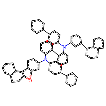 c1ccc(-c2ccc(N(c3cccc(-c4cccc5ccccc45)c3)c3ccccc3-c3ccccc3N(c3ccc(-c4ccccc4)cc3)c3ccc4c(c3)oc3ccc5ccccc5c34)cc2)cc1